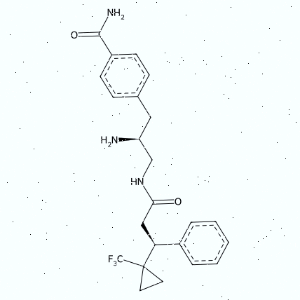 NC(=O)c1ccc(C[C@H](N)CNC(=O)C[C@@H](c2ccccc2)C2(C(F)(F)F)CC2)cc1